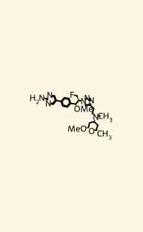 CO[C@H]1C[C@@H](N(C)CCc2cn([C@H](CF)[C@H](OC)c3ccc(-c4cnc(N)nc4)cc3)nn2)C[C@@H](C)O1